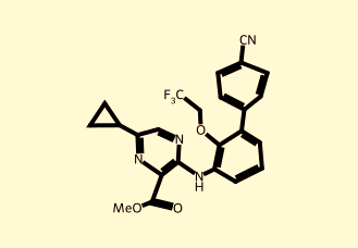 COC(=O)c1nc(C2CC2)cnc1Nc1cccc(-c2ccc(C#N)cc2)c1OCC(F)(F)F